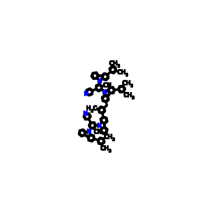 Cc1cc(C)cc(-c2ccc3c(c2)c2ccccc2n3-c2cc(-c3ccncc3)cc(-n3c4ccc(Cc5cc(C)cc(-c6ccc7c8ccccc8n(-c8cc(-c9ccncc9)cc(-n9c%10ccccc%10c%10ccc(-c%11cc(C)cc(C)c%11)cc%109)c8C#N)c7c6)c5)cc4c4cc(-c5cc(C)cc(C)c5)ccc43)c2C#N)c1